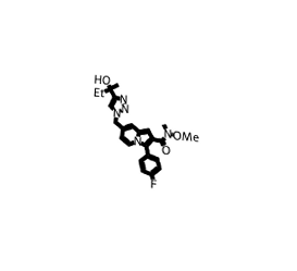 CCC(C)(O)c1cn(Cc2ccn3c(-c4ccc(F)cc4)c(C(=O)N(C)OC)cc3c2)nn1